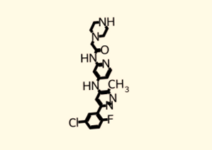 Cc1nnc(-c2cc(Cl)ccc2F)cc1Nc1ccnc(NC(=O)CN2CCNCC2)c1